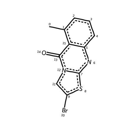 Cc1cccc2nc3sc(Br)cn3c(=O)c12